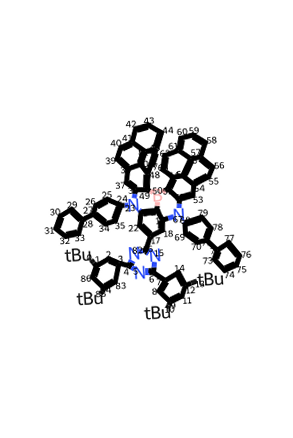 CC(C)(C)c1cc(-c2nc(-c3cc(C(C)(C)C)cc(C(C)(C)C)c3)nc(-c3cc4c5c(c3)N(c3ccc(-c6ccccc6)cc3)c3cc6ccc7cccc8ccc(c3B5c3c(cc5ccc9cccc%10ccc3c5c9%10)N4c3ccc(-c4ccccc4)cc3)c6c78)n2)cc(C(C)(C)C)c1